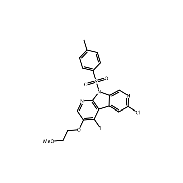 COCCOc1cnc2c(c1I)c1cc(Cl)ncc1n2S(=O)(=O)c1ccc(C)cc1